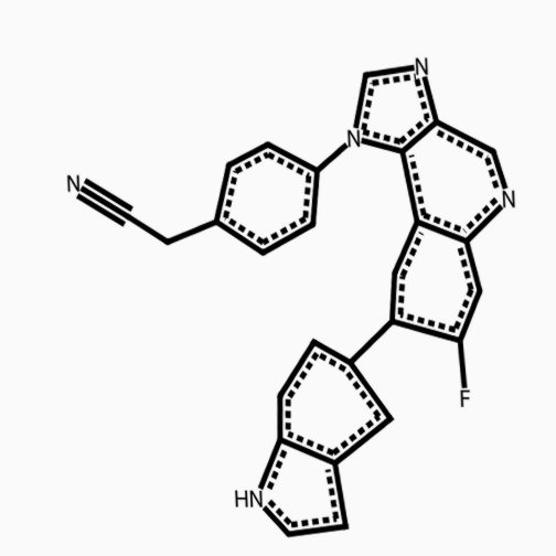 N#CCc1ccc(-n2cnc3cnc4cc(F)c(-c5ccc6[nH]ccc6c5)cc4c32)cc1